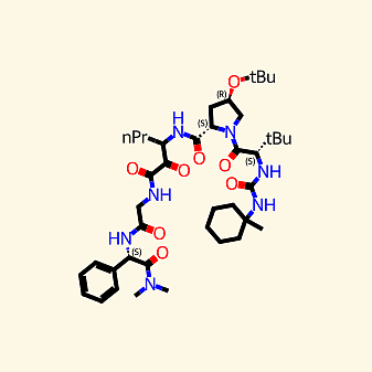 CCCC(NC(=O)[C@@H]1C[C@@H](OC(C)(C)C)CN1C(=O)[C@@H](NC(=O)NC1(C)CCCCC1)C(C)(C)C)C(=O)C(=O)NCC(=O)N[C@H](C(=O)N(C)C)c1ccccc1